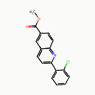 COC(=O)c1ccc2nc(-c3ccccc3Cl)ccc2c1